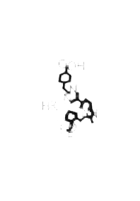 Cc1nc2ccc(-c3cnc(CC4CCC(C(=O)O)CC4)nc3)cn2c1Cc1ccccc1OC(F)F.[KH]